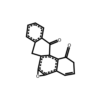 O=C1CC=Cc2c3c(c4c(c21)C(=O)c1ccccc1C4)O3